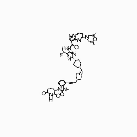 C[C@H]1CN(c2ccn3ncc(C(=O)NC4=NC([C@H]5CC[C@H](CN6CCC(CC#Cc7cccc8c7n(C)c(=O)n8C7CCC(=O)NC7=O)CC6)CC5)N=C4C(F)F)c3n2)C[C@H](C)O1